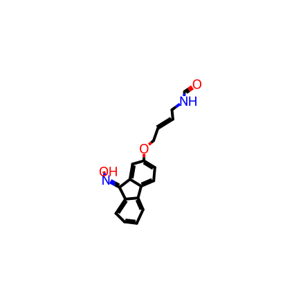 O=CNC/C=C/COc1ccc2c(c1)/C(=N\O)c1ccccc1-2